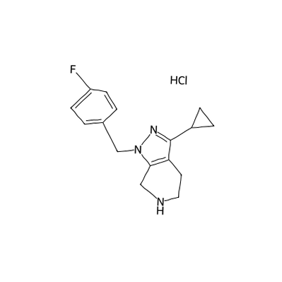 Cl.Fc1ccc(Cn2nc(C3CC3)c3c2CNCC3)cc1